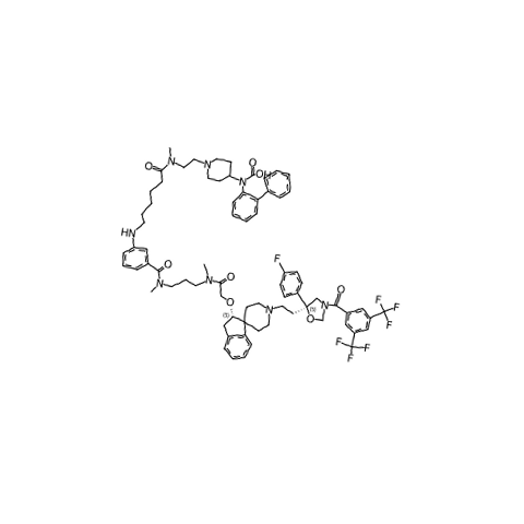 CN(CCN1CCC(N(C(=O)O)c2ccccc2-c2ccccc2)CC1)C(=O)CCCCCNc1cccc(C(=O)N(C)CCCN(C)C(=O)CO[C@H]2Cc3ccccc3C23CCN(CC[C@]2(c4ccc(F)cc4)CN(C(=O)c4cc(C(F)(F)F)cc(C(F)(F)F)c4)CO2)CC3)c1